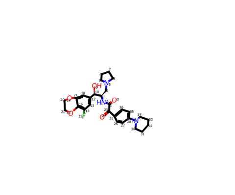 O=C(N[C@H](CN1CCCC1)[C@H](O)c1cc(F)c2c(c1)OCCO2)C(=O)c1ccc(N2CCCCC2)cc1